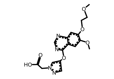 COCCOc1cc2ncnc(Oc3cnn(CC(=O)O)c3)c2cc1OC